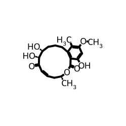 COc1cc(O)c2c(c1C)CCC[C@H](O)[C@H](O)C(=O)/C=C\C[C@H](C)OC2=O